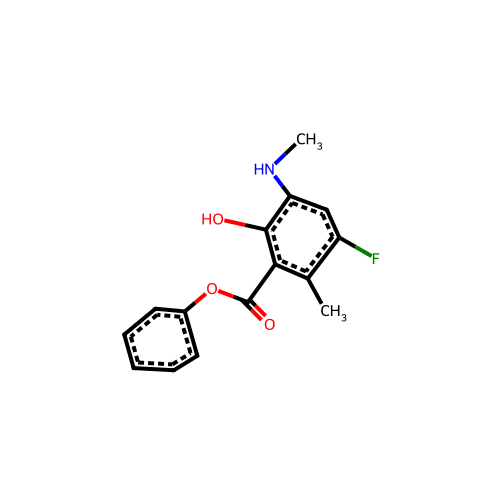 CNc1cc(F)c(C)c(C(=O)Oc2ccccc2)c1O